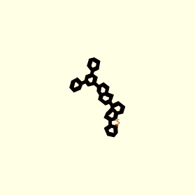 c1ccc(-c2cc(-c3ccccc3)cc(-c3ccc4cc(-c5cccc6c5ccc5c7ccccc7sc65)ccc4c3)c2)cc1